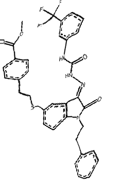 COC(=O)c1ccc(CCSc2ccc3c(c2)/C(=N\NC(=O)Nc2cccc(C(F)(F)F)c2)C(=O)N3CCc2ccccc2)cc1